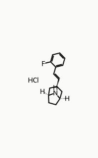 Cl.Fc1ccccc1/C=C/[C@H]1C[C@H]2CC[C@@H](C1)N2